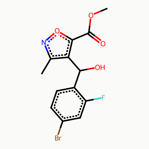 COC(=O)c1onc(C)c1C(O)c1ccc(Br)cc1F